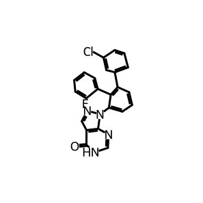 O=c1[nH]cnc2c1cnn2-c1cccc(-c2cccc(Cl)c2)c1-c1ccccc1F